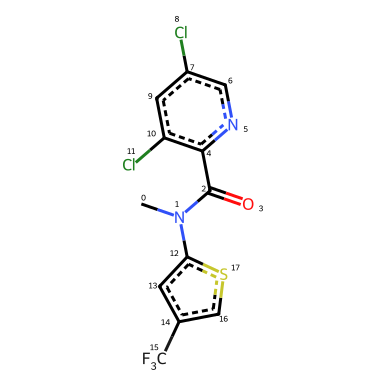 CN(C(=O)c1ncc(Cl)cc1Cl)c1cc(C(F)(F)F)cs1